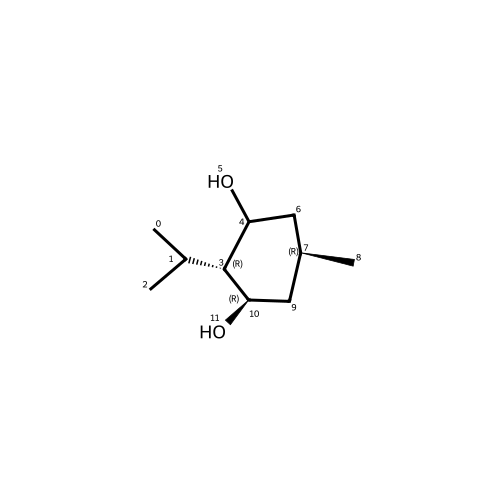 CC(C)[C@@H]1C(O)C[C@@H](C)C[C@H]1O